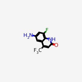 Nc1cc(F)c2[nH]c(=O)cc(C(F)(F)F)c2c1